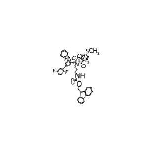 CSc1ccc(C(=O)N(CCCNC(=O)OCC2c3ccccc3-c3ccccc32)[C@@H](c2cc(-c3cc(F)ccc3F)cn2Cc2ccccc2)C(C)(C)C)cc1